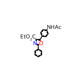 CCOC(=O)c1nc(-c2ccccc2)oc1-c1ccc(NC(C)=O)cc1